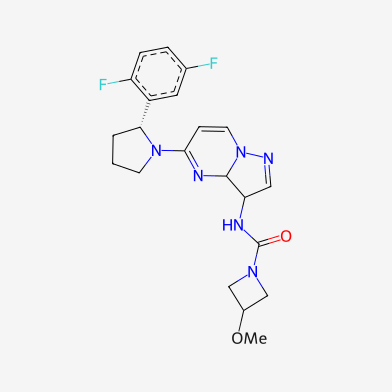 COC1CN(C(=O)NC2C=NN3C=CC(N4CCC[C@@H]4c4cc(F)ccc4F)=NC23)C1